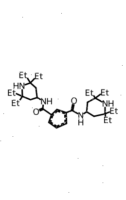 CCC1(CC)CC(NC(=O)c2cccc(C(=O)NC3CC(CC)(CC)NC(CC)(CC)C3)c2)CC(CC)(CC)N1